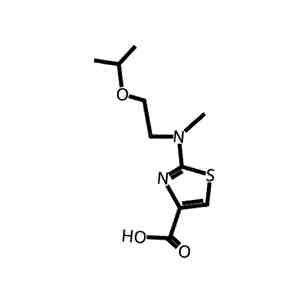 CC(C)OCCN(C)c1nc(C(=O)O)cs1